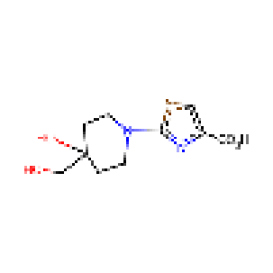 O=C(O)c1csc(N2CCC(O)(CO)CC2)n1